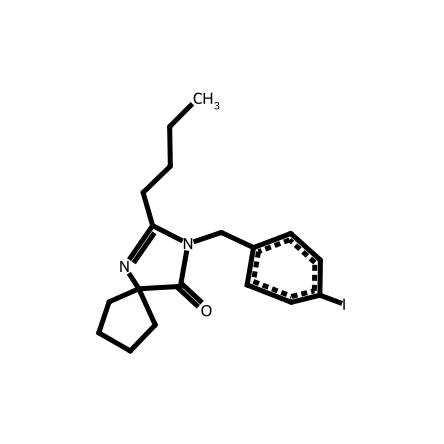 CCCCC1=NC2(CCCC2)C(=O)N1Cc1ccc(I)cc1